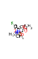 CC[C@H](c1ccc(F)cc1)N1C(=O)C2(C)SSC1(CCC(=O)OC)C(=O)N2C